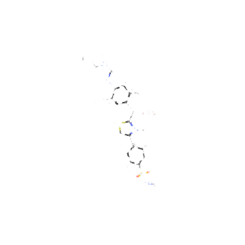 Br.CCN(C)C=Nc1cc(C)c(Cc2nc(-c3ccc(S(=O)(=O)NC)cc3)cs2)cc1C